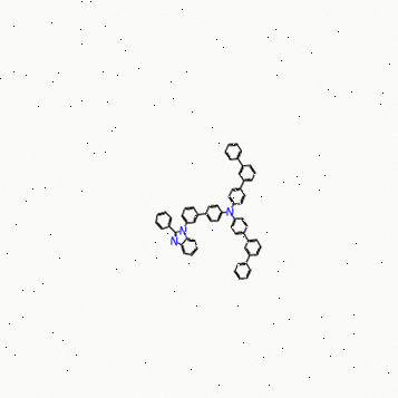 c1ccc(-c2cccc(-c3ccc(N(c4ccc(-c5cccc(-c6ccccc6)c5)cc4)c4ccc(-c5cccc(-n6c(-c7ccccc7)nc7ccccc76)c5)cc4)cc3)c2)cc1